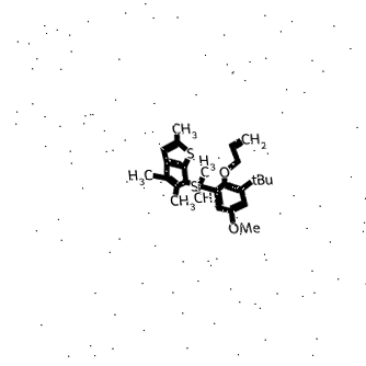 C=CCOc1c(C(C)(C)C)cc(OC)cc1[Si](C)(C)C1C(C)=C(C)c2cc(C)sc21